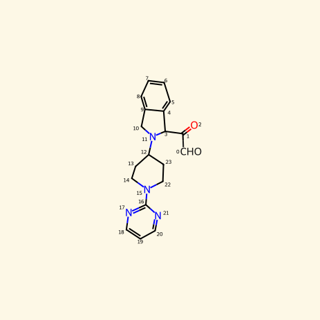 O=CC(=O)C1c2ccccc2CN1C1CCN(c2ncccn2)CC1